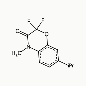 CC(C)c1ccc2c(c1)OC(F)(F)C(=O)N2C